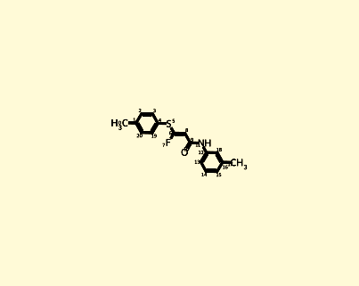 Cc1ccc(SC(F)=CC(=O)Nc2cccc(C)c2)cc1